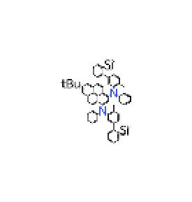 Cc1ccc(-c2ccccc2[Si](C)(C)C)cc1N(c1ccccc1)c1cc(N(c2ccccc2)c2cc(-c3ccccc3[Si](C)(C)C)ccc2C)c2ccc3cc(C(C)(C)C)cc4ccc1c2c43